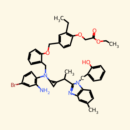 CCOC(=O)COc1ccc(COc2ccccc2CN(C2=C(C(C)c3nc4cc(C)ccc4n3Cc3ccccc3O)C2)c2ccc(Br)cc2N)cc1CC